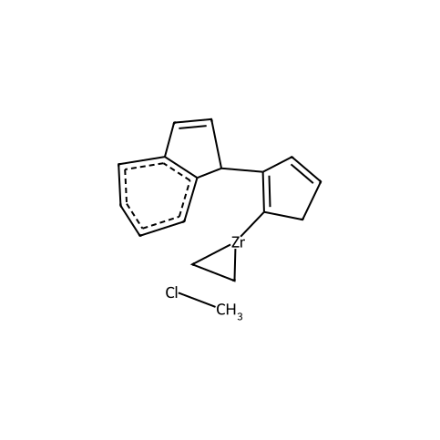 C1=CC(C2C=Cc3ccccc32)=[C]([Zr]2[CH2][CH2]2)C1.CCl